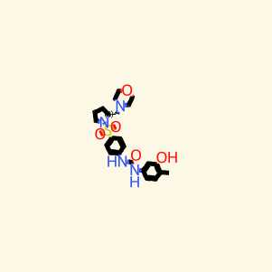 Cc1ccc(NC(=O)Nc2ccc(S(=O)(=O)N3CCC[C@@H]3CN3CCOCC3)cc2)cc1O